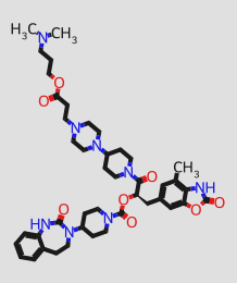 Cc1cc(C[C@@H](OC(=O)N2CCC(N3CCc4ccccc4NC3=O)CC2)C(=O)N2CCC(N3CCN(CCC(=O)OCCCN(C)C)CC3)CC2)cc2oc(=O)[nH]c12